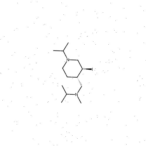 CC(C)N(C)C[C@@H]1CCN(C(C)C)C[C@H]1I